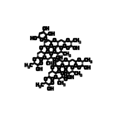 CC(OC(=O)CC(OC(=O)/C=C\C(=O)OC(CC(=O)OC(C)C(=O)O)C(=O)OC(C)C(=O)O)C(=O)OC(C)C(=O)O)C(=O)O.CC(OC(=O)CC(OC(=O)/C=C\C(=O)OC(CC(=O)OC(C)C(=O)O)C(=O)OC(C)C(=O)O)C(=O)OC(C)C(=O)O)C(=O)O.O=C(O)/C=C(/O)C(=O)O